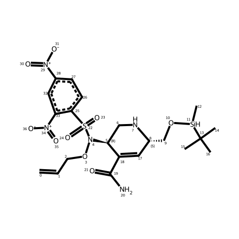 C=CCON([C@H]1CN[C@H](CO[SiH](C)C(C)(C)C)C=C1C(N)=O)S(=O)(=O)c1ccc([N+](=O)[O-])cc1[N+](=O)[O-]